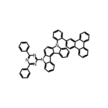 c1ccc(-c2nc(-c3ccccc3)nc(-n3c4ccccc4c4c5c6ccccc6n(-c6ccccc6-c6ccc7c8ccccc8c8ccccc8c7c6)c5ccc43)n2)cc1